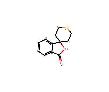 O=C1OC2(CCPCC2)c2ccccc21